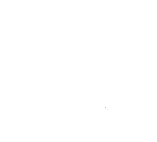 CCOC(=O)CCC1(C)C=C2C(=CC1)c1ccc3cc(N4CCOCC4)ccc3c1CC2C